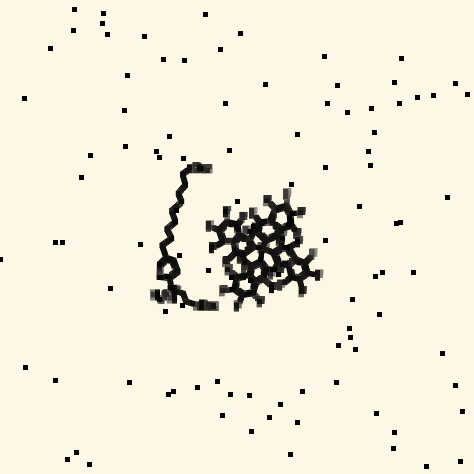 CCCCCCCCCCCCCCCCCCCc1ccc([NH+](C)CCCCCCCCCCCC)cc1.Fc1c(F)c(F)c2c(F)c([B-](c3c(F)c(F)c4c(F)c(F)c(F)c(F)c4c3F)(c3c(F)c(F)c4c(F)c(F)c(F)c(F)c4c3F)c3c(F)c(F)c4c(F)c(F)c(F)c(F)c4c3F)c(F)c(F)c2c1F